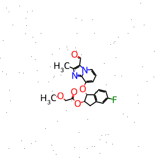 COCC(=O)O[C@@H]1Cc2cc(F)ccc2[C@H]1Oc1cccn2c(C=O)c(C)nc12